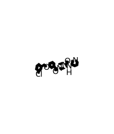 O=C(Nc1cccnc1)N1CCN(C(=O)c2cccc(OCc3cccc(Cl)c3)c2)CC1